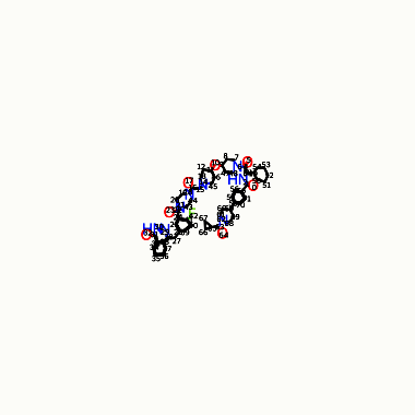 O=C(N[C@@H](C(=O)N1CCC(OC2CCN(CC(=O)N3CCN(C(=O)c4cc(Cc5n[nH]c(=O)c6ccccc56)ccc4F)CC3)CC2)CC1)C1CCCCC1)c1ccc(C2CCN(C(=O)C3CC3)CC2)cc1